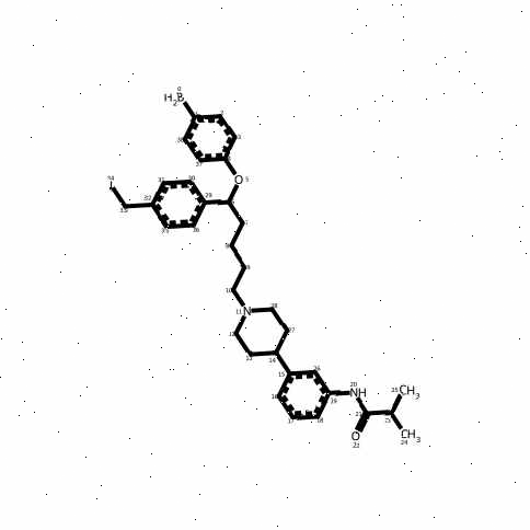 Bc1ccc(OC(CCCCN2CCC(c3cccc(NC(=O)C(C)C)c3)CC2)c2ccc(CI)cc2)cc1